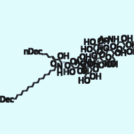 CCCCCCCCCCCCC/C=C/[C@@H](O)[C@H](CO[C@@H]1OC(CO)[C@@H](O[C@@H]2OC(CO)[C@H](O)[C@H](O[C@@H]3OC(CO)[C@@H](O[C@@H]4OC(CO)[C@H](O)[C@H](O[C@@H]5OC(CO)[C@@H](O)[C@H](O)C5NC(C)=O)C4O)[C@H](O[C@H]4OC(C)[C@@H](O)C(O)[C@@H]4O)C3NC(C)=O)C2O)[C@H](O)C1O)NC(=O)CCCCCCCCCCCCCCCCCCCCCCCCC